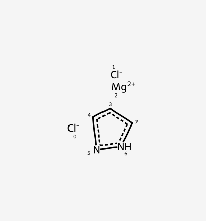 [Cl-].[Cl-].[Mg+2].c1cn[nH]c1